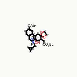 CCOC(=O)CC1C[C@@]2(O)[C@H]3Cc4ccc(OC)cc4[C@@]2(CCN3CC2CC2)CC12OCCO2